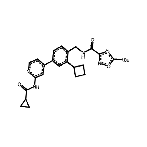 CC(C)(C)c1nc(C(=O)NCc2ccc(-c3ccnc(NC(=O)C4CC4)c3)cc2C2CCC2)no1